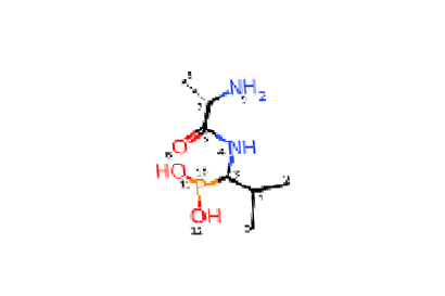 CC(C)C(NC(=O)[C@H](C)N)P(O)O